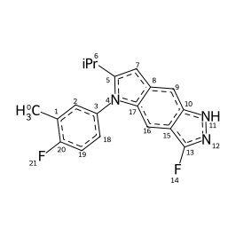 Cc1cc(-n2c(C(C)C)cc3cc4[nH]nc(F)c4cc32)ccc1F